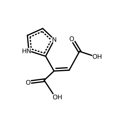 O=C(O)/C=C(/C(=O)O)c1ncc[nH]1